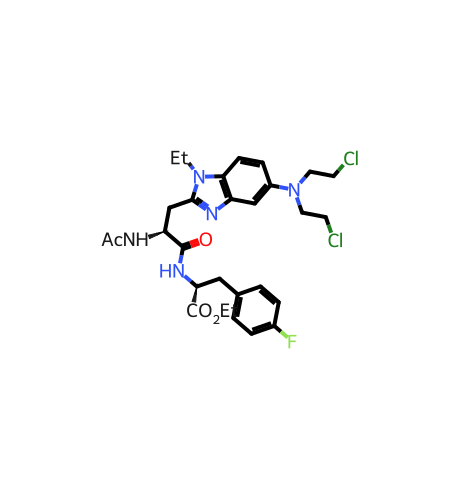 CCOC(=O)[C@H](Cc1ccc(F)cc1)NC(=O)[C@H](Cc1nc2cc(N(CCCl)CCCl)ccc2n1CC)NC(C)=O